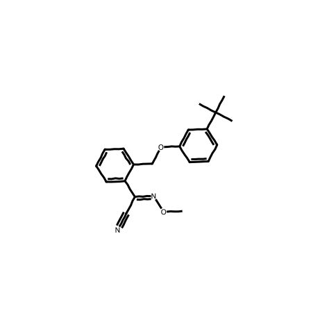 CON=C(C#N)c1ccccc1COc1cccc(C(C)(C)C)c1